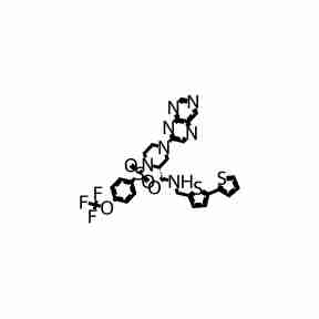 O=C(NCc1ccc(-c2cccs2)s1)[C@H]1CN(c2cnc3cncnc3n2)CCN1S(=O)(=O)c1ccc(OC(F)(F)F)cc1